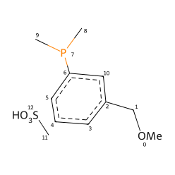 COCc1cccc(P(C)C)c1.CS(=O)(=O)O